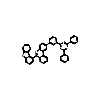 c1ccc(-c2nc(-c3ccccc3)nc(-c3cccc(-c4ccc5nc(-c6cccc7sc8ccccc8c67)c6ccccc6c5c4)c3)n2)cc1